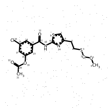 COOSCCc1csc(NC(=O)c2cc(Cl)cc(OC(C)=O)c2)n1